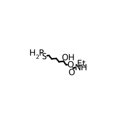 CCNC(=O)OCC(O)CCCCSP